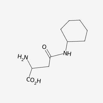 NC(CC(=O)NC1CCCCC1)C(=O)O